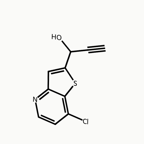 C#CC(O)c1cc2nccc(Cl)c2s1